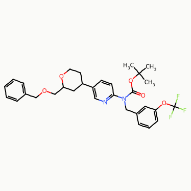 CC(C)(C)OC(=O)N(Cc1cccc(OC(F)(F)F)c1)c1ccc(C2CCOC(COCc3ccccc3)C2)cn1